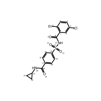 CCc1ccc(Cl)cc1C(=O)NS(=O)(=O)c1ccc(C(=O)NC2CC2)cc1